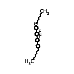 CCCCCCCCOc1ccc(-c2ccc(-c3ccc(-c4ccc(CCCCCCCC)cc4)cc3)c(F)c2F)cc1